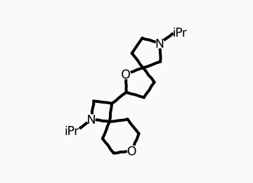 CC(C)N1CCC2(CCC(C3CN(C(C)C)C34CCOCC4)O2)C1